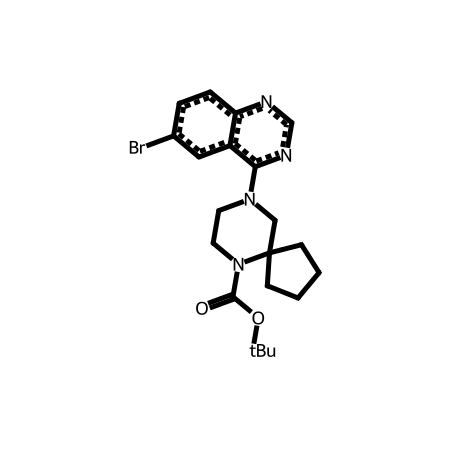 CC(C)(C)OC(=O)N1CCN(c2ncnc3ccc(Br)cc23)CC12CCCC2